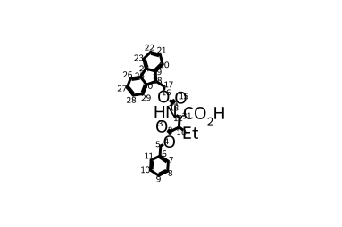 CCC(C(=O)OCc1ccccc1)[C@H](NC(=O)OCC1c2ccccc2-c2ccccc21)C(=O)O